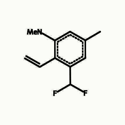 C=Cc1c(NC)cc(C)cc1C(F)F